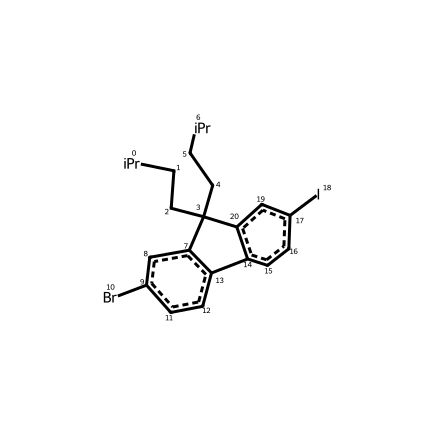 CC(C)CCC1(CCC(C)C)c2cc(Br)ccc2-c2ccc(I)cc21